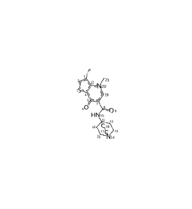 Cc1csc2c(=O)c(C(=O)NC34CCN(CC3)CC4)cn(C)c12